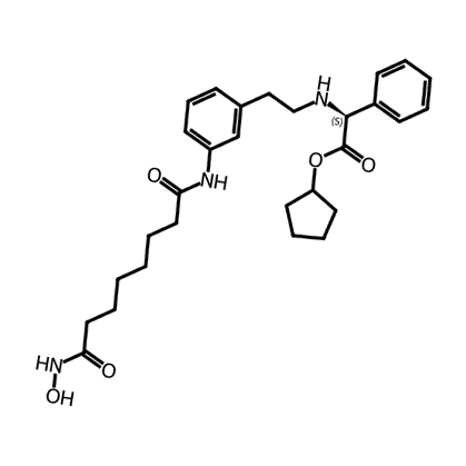 O=C(CCCCCCC(=O)Nc1cccc(CCN[C@H](C(=O)OC2CCCC2)c2ccccc2)c1)NO